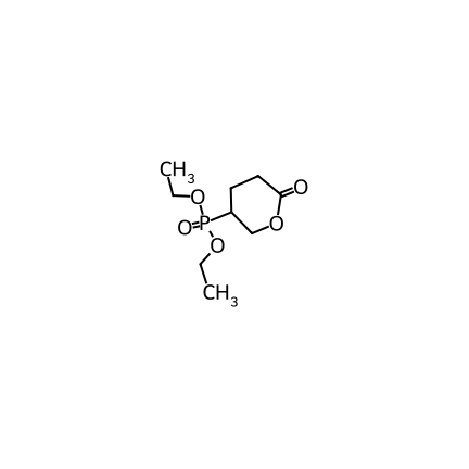 CCOP(=O)(OCC)C1CCC(=O)OC1